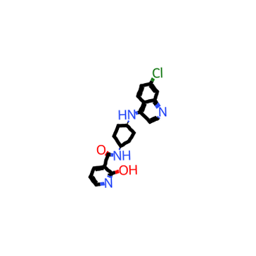 O=C(N[C@H]1CC[C@@H](Nc2ccnc3cc(Cl)ccc23)CC1)c1cccnc1O